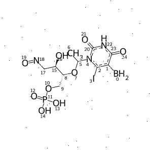 Bc1c(I)n(C(C)O[C@H](COP(=O)(O)O)[C@H](O)CN=O)c(=O)[nH]c1=O